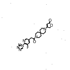 O=C1C=C(N2CCC3(CCN(C(=O)Cc4cnc(-n5cnnn5)c(F)c4)CC3)CC2)CO1